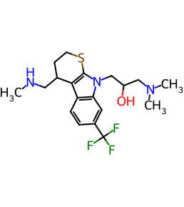 CNCC1CCSc2c1c1ccc(C(F)(F)F)cc1n2CC(O)CN(C)C